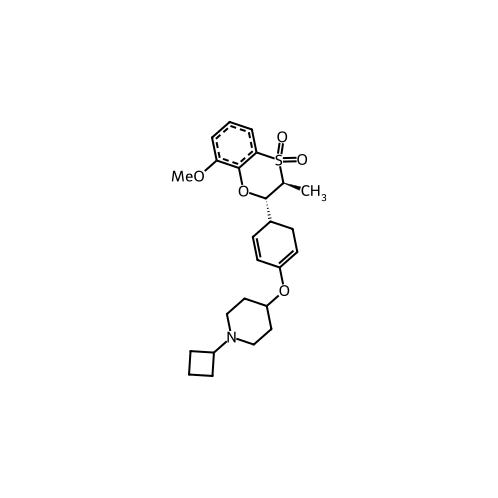 COc1cccc2c1O[C@@H](C1C=CC(OC3CCN(C4CCC4)CC3)=CC1)[C@H](C)S2(=O)=O